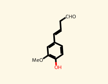 COc1cc(/C=C/CC=O)ccc1O